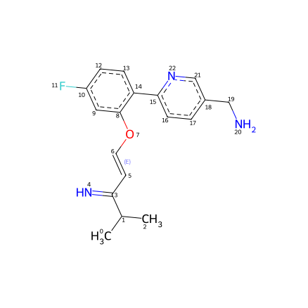 CC(C)C(=N)/C=C/Oc1cc(F)ccc1-c1ccc(CN)cn1